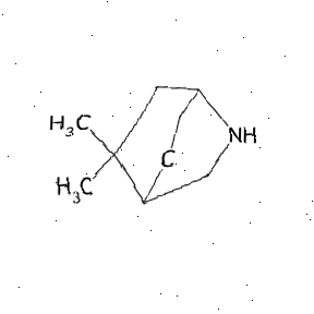 CC1(C)CC2CCC1CN2